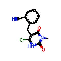 Cn1c(=O)[nH]c(Cl)c(Cc2ccccc2C#N)c1=O